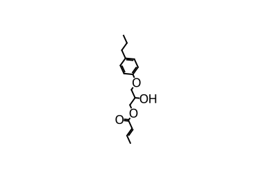 CC=CC(=O)OCC(O)COc1ccc(CCC)cc1